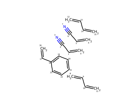 C=CC#N.C=CC#N.C=CC=C.C=CC=C.C=Cc1ccccc1